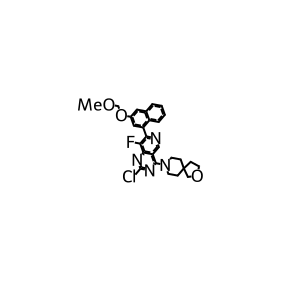 COCOc1cc(-c2ncc3c(N4CCC5(CCOC5)CC4)nc(Cl)nc3c2F)c2ccccc2c1